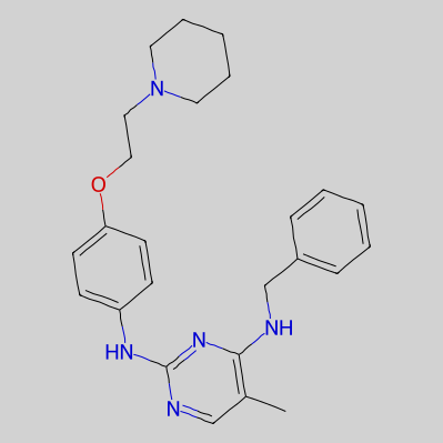 Cc1cnc(Nc2ccc(OCCN3CCCCC3)cc2)nc1NCc1ccccc1